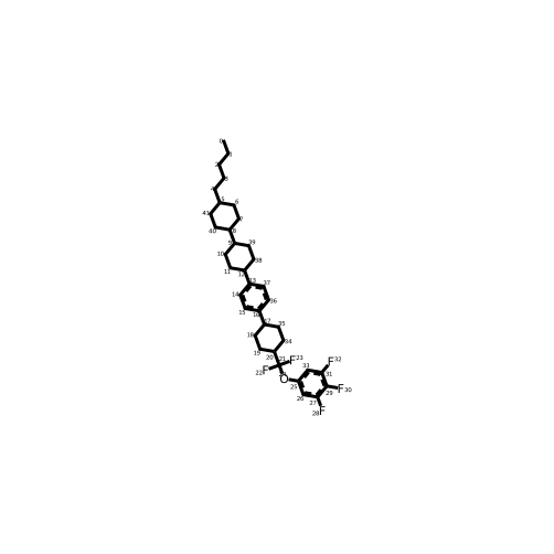 CCCCCC1CCC(C2CCC(c3ccc(C4CCC(C(F)(F)Oc5cc(F)c(F)c(F)c5)CC4)cc3)CC2)CC1